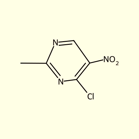 Cc1ncc([N+](=O)[O-])c(Cl)n1